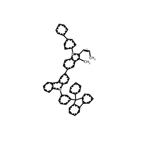 C/C=C\c1c(C)c2cc(-c3ccc4c(c3)c3ccccc3n4-c3cccc(C4(c5ccccc5)c5ccccc5-c5ccccc54)c3)ccc2n1-c1ccc(-c2ccccc2)cc1